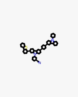 N#Cc1cccc(-n2c3ccc(-c4ccc(-c5ccc6c(c5)c5ccccc5n6-c5ccccc5)cc4)cc3c3ccc(-c4cccc5c4sc4ccccc45)cc32)c1